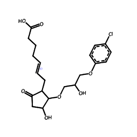 O=C(O)CCC/C=C/CC1C(=O)CC(O)C1OCC(O)COc1ccc(Cl)cc1